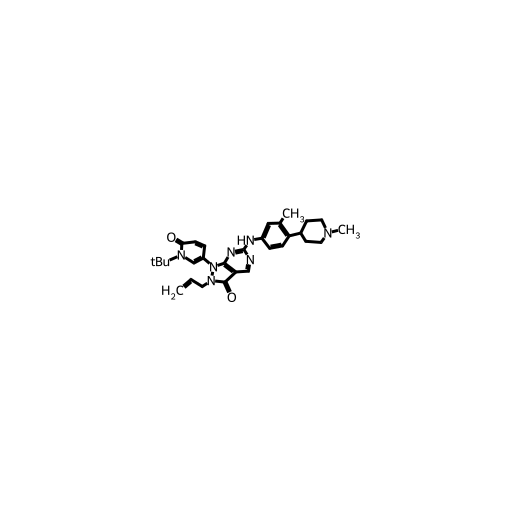 C=CCn1c(=O)c2cnc(Nc3ccc(C4CCN(C)CC4)c(C)c3)nc2n1-c1ccc(=O)n(C(C)(C)C)c1